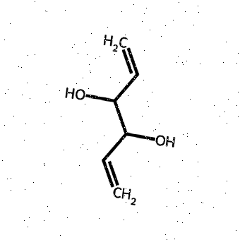 C=CC(O)C(O)C=C